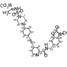 C[C@@H](NS(=O)(=O)N1CCN(c2ccc(C#Cc3ccnc(C(=O)NCc4ccc5c(c4)oc(=O)n5C)c3)cc2)CC1)C(=O)O